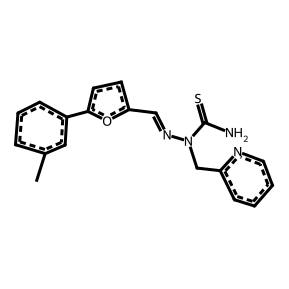 Cc1cccc(-c2ccc(C=NN(Cc3ccccn3)C(N)=S)o2)c1